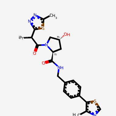 Cc1nnc(C(C(=O)N2C[C@H](O)C[C@H]2C(=O)NCc2ccc(-c3scnc3C)cc2)C(C)C)s1